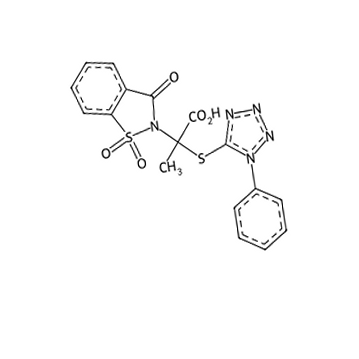 CC(Sc1nnnn1-c1ccccc1)(C(=O)O)N1C(=O)c2ccccc2S1(=O)=O